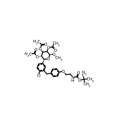 CO[C@H]1O[C@@H](c2ccc(Cl)c(Cc3ccc(OCCNC(=O)OC(C)(C)C)cc3)c2)[C@H](OC(C)=O)C(OC(C)=O)C1OC(C)=O